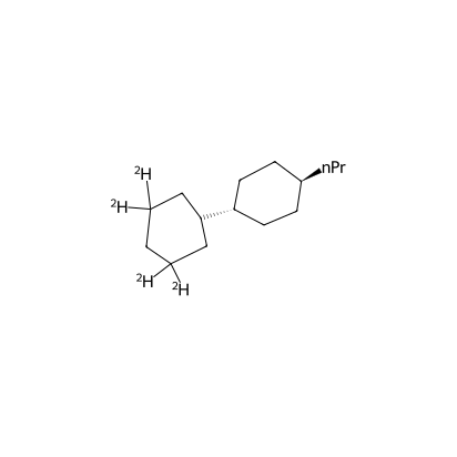 [2H]C1([2H])CC([C@H]2CC[C@H](CCC)CC2)CC([2H])([2H])C1